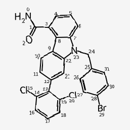 NC(=O)c1cccc2c1c1[c]cc(-c3c(Cl)cccc3Cl)cc1n2Cc1ccc(Br)cc1